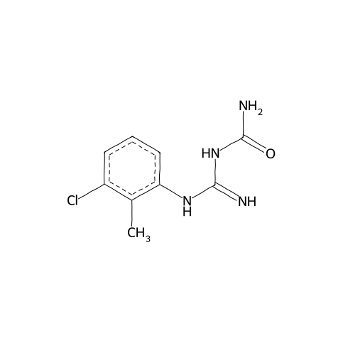 Cc1c(Cl)cccc1NC(=N)NC(N)=O